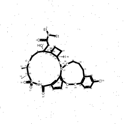 CCN(CC)C(=O)C[C@]1(O)CCC[C@H](C)[C@@H](C)S(=O)(=O)NC(=O)c2ccc3c(c2)N(CCCCc2cc(Cl)ccc2CO3)C[C@@H]2CC[C@H]21